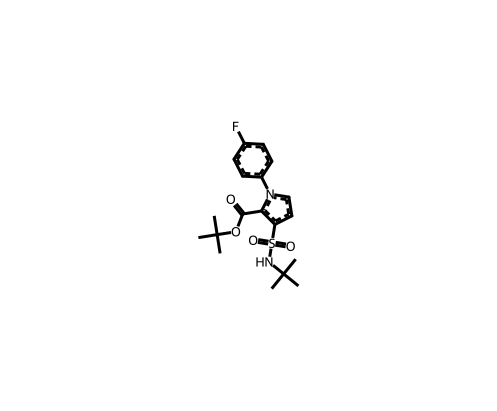 CC(C)(C)NS(=O)(=O)c1ccn(-c2ccc(F)cc2)c1C(=O)OC(C)(C)C